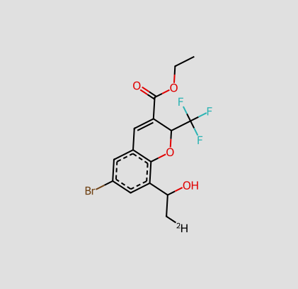 [2H]CC(O)c1cc(Br)cc2c1OC(C(F)(F)F)C(C(=O)OCC)=C2